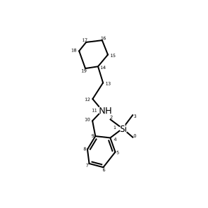 C[Si](C)(C)c1ccccc1CNCCC1CCCCC1